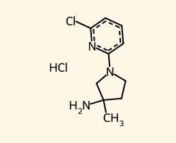 CC1(N)CCN(c2cccc(Cl)n2)C1.Cl